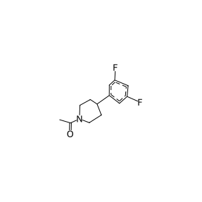 CC(=O)N1CCC(c2cc(F)cc(F)c2)CC1